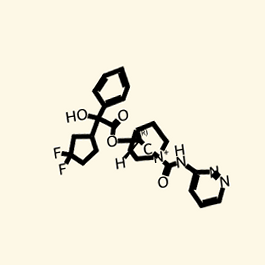 O=C(O[C@H]1C[N+]2(C(=O)Nc3cccnn3)CCC1CC2)C(O)(c1ccccc1)C1CCC(F)(F)C1